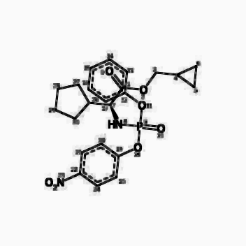 O=C(OCC1CC1)[C@@H](NP(=O)(Oc1ccccc1)Oc1ccc([N+](=O)[O-])cc1)C1CCCC1